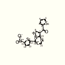 O=C(c1cccs1)c1cnn2c(-c3ccc([N+](=O)[O-])s3)ccnc12